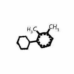 Cc1cccc(C2[CH]CCCC2)c1C